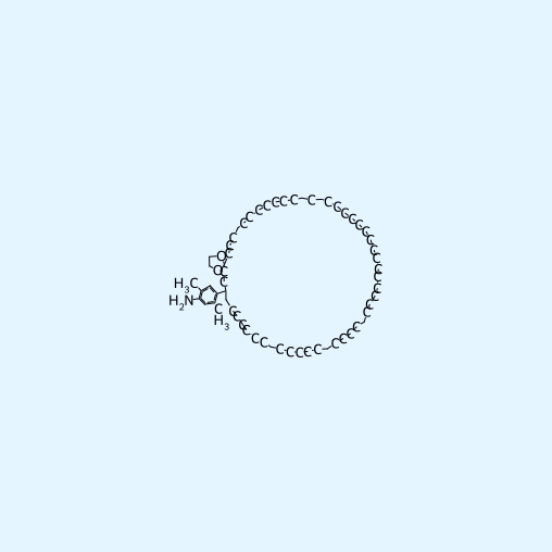 Cc1cc(C2CCCCCCCCCCCCCCCCCCCCCCCCCCCCCCCCCCCCCCCCCCCCCCCCC3(CC2)OCCO3)c(C)cc1N